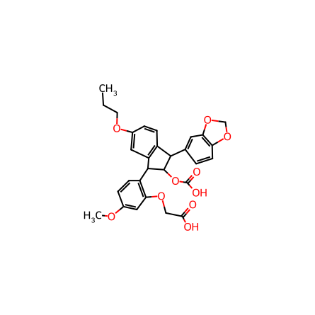 CCCOc1ccc2c(c1)C(c1ccc(OC)cc1OCC(=O)O)C(OC(=O)O)C2c1ccc2c(c1)OCO2